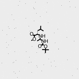 COC(=O)[C@H](CC(C)C)NC(C)NC(=O)OC(C)(C)C